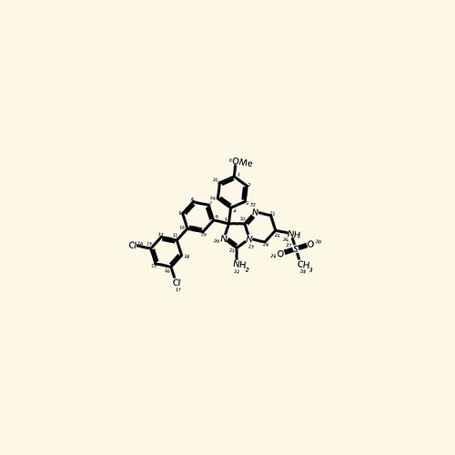 COc1ccc(C2(c3cccc(-c4cc(Cl)cc(Cl)c4)c3)N=C(N)N3CC(NS(C)(=O)=O)CN=C32)cc1